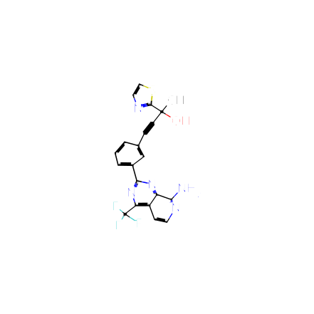 CC(O)(C#Cc1cccc(-c2nc(C(F)(F)F)c3ccnc(N)c3n2)c1)c1nccs1